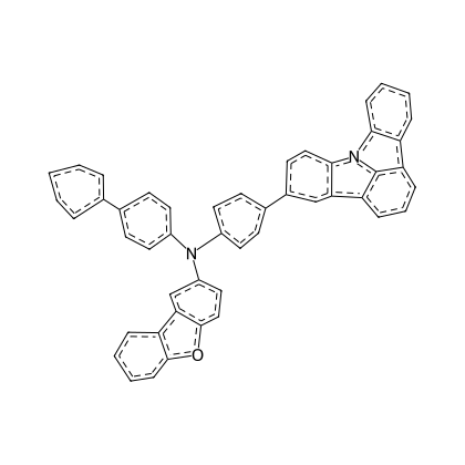 c1ccc(-c2ccc(N(c3ccc(-c4ccc5c(c4)c4cccc6c7ccccc7n5c64)cc3)c3ccc4oc5ccccc5c4c3)cc2)cc1